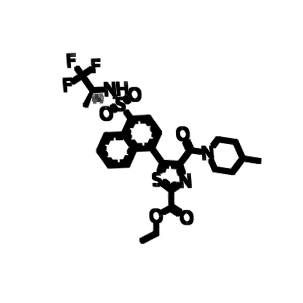 CCOC(=O)c1nc(C(=O)N2CCC(C)CC2)c(-c2ccc(S(=O)(=O)N[C@@H](C)C(F)(F)F)c3ccccc23)s1